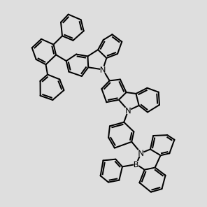 c1ccc(B2c3ccccc3-c3ccccc3N2c2cccc(-n3c4ccccc4c4cc(-n5c6ccccc6c6cc(-c7c(-c8ccccc8)cccc7-c7ccccc7)ccc65)ccc43)c2)cc1